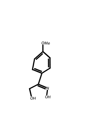 COc1ccc(C(CO)=NO)cc1